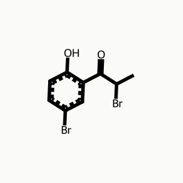 CC(Br)C(=O)c1cc(Br)ccc1O